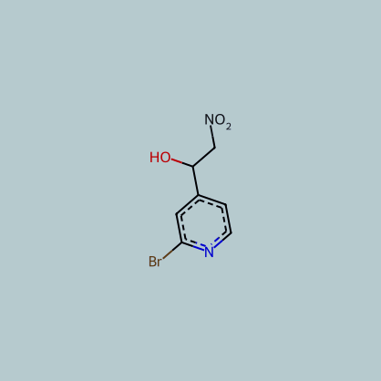 O=[N+]([O-])CC(O)c1ccnc(Br)c1